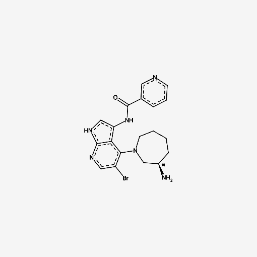 N[C@@H]1CCCCN(c2c(Br)cnc3[nH]cc(NC(=O)c4cccnc4)c23)C1